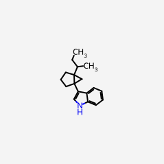 CCC(C)C12CCCC1(c1c[nH]c3ccccc13)C2